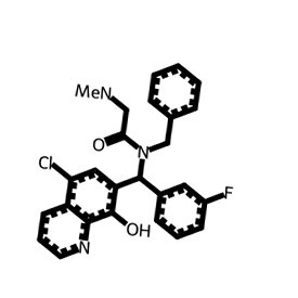 CNCC(=O)N(Cc1ccccc1)C(c1cccc(F)c1)c1cc(Cl)c2cccnc2c1O